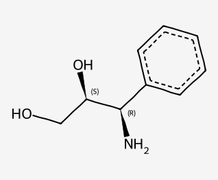 N[C@H](c1ccccc1)[C@H](O)CO